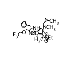 CCS(=O)(=O)N(C)c1cc(C(=O)N[C@@H](Cc2ccccc2)[C@@H](N)COCC(F)(F)F)cc(N(C)CC2CC2C)n1